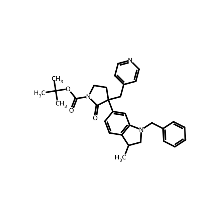 CC1CN(Cc2ccccc2)c2cc(C3(Cc4ccncc4)CCN(C(=O)OC(C)(C)C)C3=O)ccc21